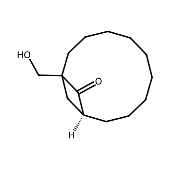 O=C1[C@H]2CCCCCCCCCC1(CO)C2